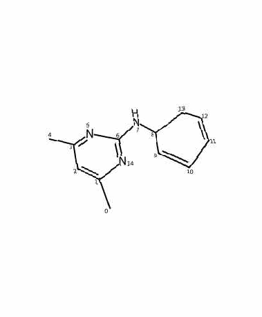 Cc1cc(C)nc(NC2C=CC=CC2)n1